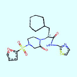 O=C(Nc1nccs1)[C@H](CC1CCCCC1)N1CCN(S(=O)(=O)c2ccco2)CC1=O